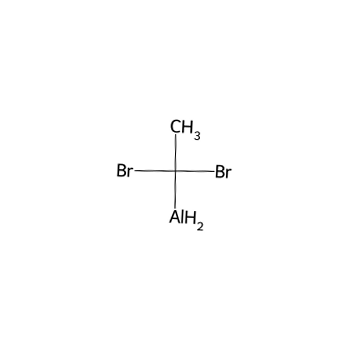 C[C]([AlH2])(Br)Br